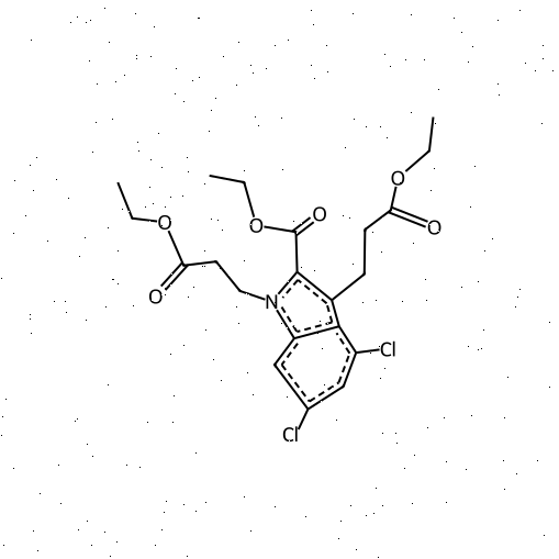 CCOC(=O)CCc1c(C(=O)OCC)n(CCC(=O)OCC)c2cc(Cl)cc(Cl)c12